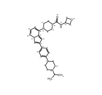 CC(C)N1CCC(c2ccc(-c3cc4c(N5CCN(C(=O)NC6COC6)CC5)ccnn4c3)cc2)CC1